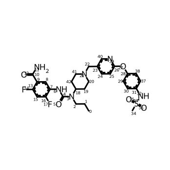 CCCN(C(=O)Nc1cc(C(N)=O)c(F)cc1F)C1CCN(Cc2ccc(Oc3ccc(NS(C)(=O)=O)cc3)nc2)CC1